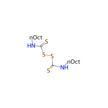 CCCCCCCCNC(=S)SSC(=S)NCCCCCCCC